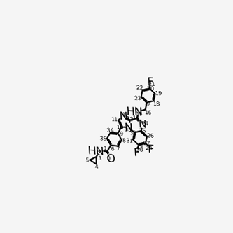 O=C(NC1CC1)c1ccc(-c2cnc3c(NCc4ccc(F)cc4)nc4cc(F)c(F)cc4n23)cc1